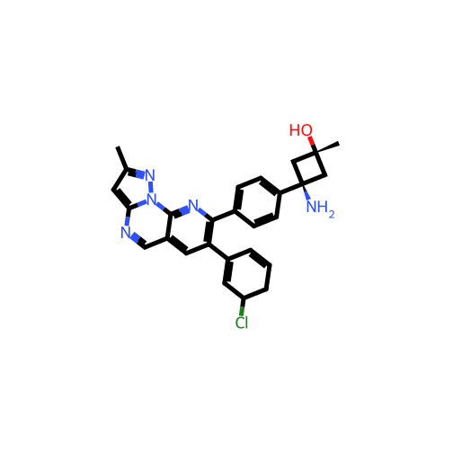 Cc1cc2ncc3cc(C4=CC(Cl)CC=C4)c(-c4ccc([C@]5(N)C[C@](C)(O)C5)cc4)nc3n2n1